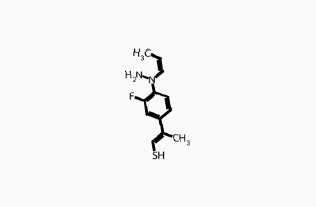 C/C=C\N(N)c1ccc(/C(C)=C/S)cc1F